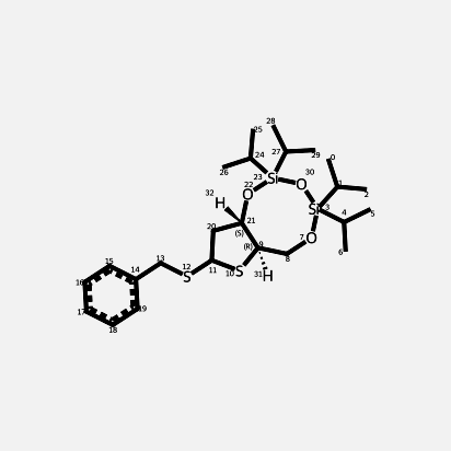 CC(C)[Si]1(C(C)C)OC[C@H]2SC(SCc3ccccc3)C[C@@H]2O[Si](C(C)C)(C(C)C)O1